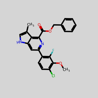 COc1c(Cl)ccc(-c2cc3[nH]cc(C)c3c(C(=O)OCc3ccccc3)n2)c1F